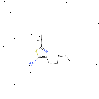 C/C=C\C=C/c1nc(C(C)(C)C)sc1N